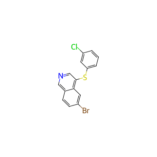 Clc1cccc(Sc2cncc3ccc(Br)cc23)c1